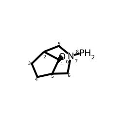 O=C1C2CCC1CN(P)C2